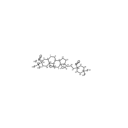 CC12CCC3C(CCC4C[C@](N=O)(C(F)(F)F)CCC43C)C1CCC2CCCC1(N=O)CCC(F)(F)CC1